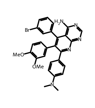 COc1ccc(-c2c(-c3ccc(N(C)C)cc3)nc3ncnc(N)c3c2-c2cccc(Br)c2)cc1OC